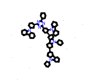 c1ccc(-c2nc(-c3cccc(-n4c5ccccc5c5ccccc54)c3)nc(-c3ccc(-c4ccc5c(c4)c4ccc(-c6ccc7c(c6)c6ccccc6n7-c6ccccc6)cc4n5-c4ccccc4)c(-n4c5ccccc5c5ccccc54)c3)n2)cc1